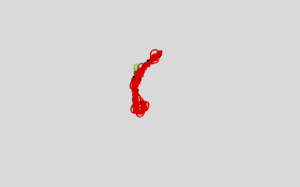 C=CC(=O)OCCCCCCOc1ccc(-c2ccc(OCCCCCCOCC3COCCOCCOCCO3)cc2)cc1F